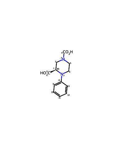 O=C(O)[C@H]1CN(C(=O)O)CCN1c1ccccc1